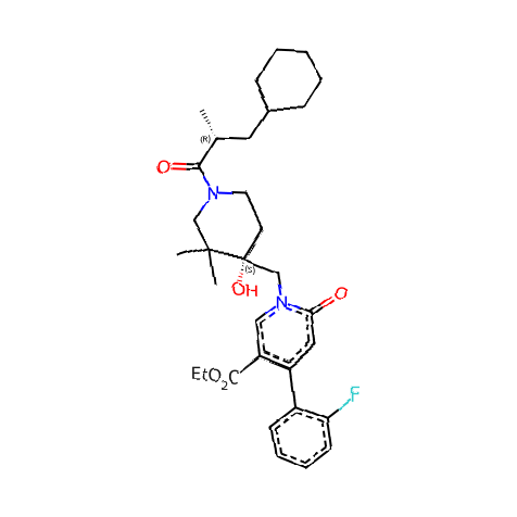 CCOC(=O)c1cn(C[C@]2(O)CCN(C(=O)[C@H](C)CC3CCCCC3)CC2(C)C)c(=O)cc1-c1ccccc1F